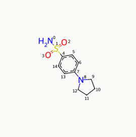 NS(=O)(=O)c1ccc(N2CCCC2)cc1